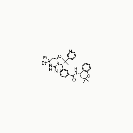 CCC1(CC)CC(=O)N([C@@H](c2cccc(C(=O)N[C@H]3CC(C)(C)Oc4ccccc43)c2)C(C)(C)c2cccnc2)C(=N)N1